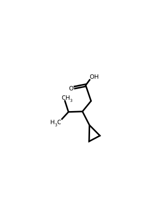 CC(C)C(CC(=O)O)C1CC1